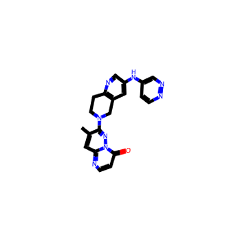 Cc1cc2nccc(=O)n2nc1N1CCc2ncc(Nc3ccnnc3)cc2C1